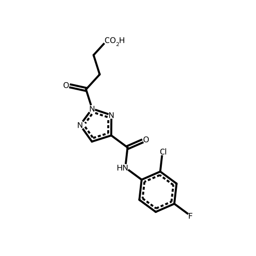 O=C(O)CCC(=O)n1ncc(C(=O)Nc2ccc(F)cc2Cl)n1